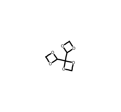 C1OC(C2(C3OCO3)OCO2)O1